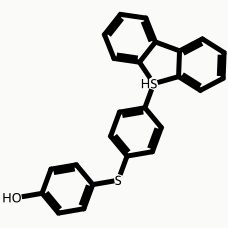 Oc1ccc(Sc2ccc([SH]3c4ccccc4-c4ccccc43)cc2)cc1